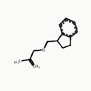 C=C(C)COCC1CCc2ccccc21